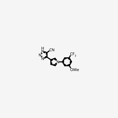 COc1cc(-n2ccc(-c3nn[nH]c3C#N)c2)cc(C(F)(F)F)c1